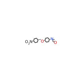 O=C=Nc1ccc(OCc2ccc([N+](=O)[O-])cc2)cc1